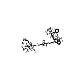 C=C(/C=C/C=C1/N(CCCCCC(=O)NCCOCCOP(OCCC#N)N(C(C)C)C(C)C)c2ccccc2C1(C)C)C(C)(C)c1ccccc1C